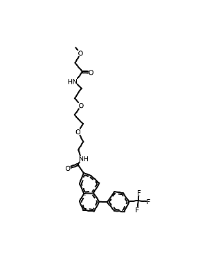 COCC(=O)NCCOCCOCCNC(=O)c1ccc2c(-c3ccc(C(F)(F)F)cc3)cccc2c1